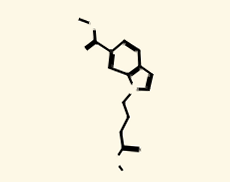 COC(=O)CCCn1ccc2ccc(C(=O)OC)cc21